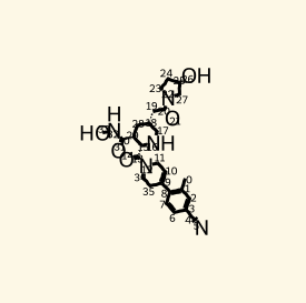 Cc1cc(C#N)ccc1C1=CCN(C(=O)[C@H]2NC[C@@H](CC(=O)N3CC[C@@H](O)C3)C[C@@H]2C(=O)NO)CC1